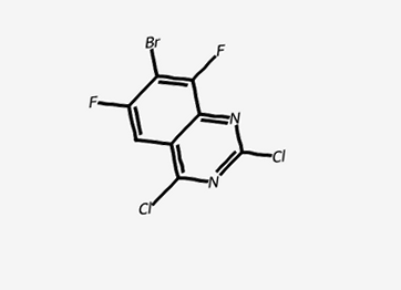 Fc1cc2c(Cl)nc(Cl)nc2c(F)c1Br